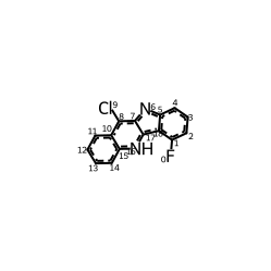 Fc1cccc2nc3c(Cl)c4ccccc4[nH]c-3c12